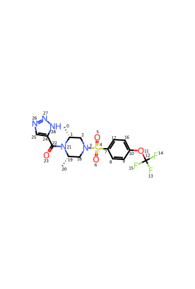 C[C@@H]1CN(S(=O)(=O)c2ccc(OC(F)(F)F)cc2)C[C@H](C)N1C(=O)c1cnn[nH]1